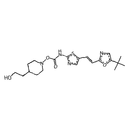 CC(C)(C)c1cnc(/C=C/c2cnc(NC(=O)ON3CCC(CCO)CC3)s2)o1